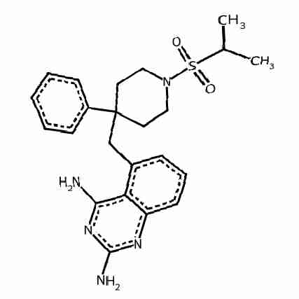 CC(C)S(=O)(=O)N1CCC(Cc2cccc3nc(N)nc(N)c23)(c2ccccc2)CC1